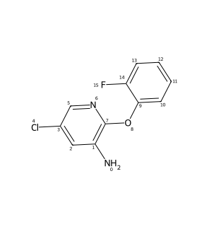 Nc1cc(Cl)cnc1Oc1ccccc1F